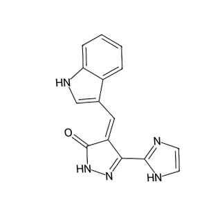 O=C1NN=C(c2ncc[nH]2)C1=Cc1c[nH]c2ccccc12